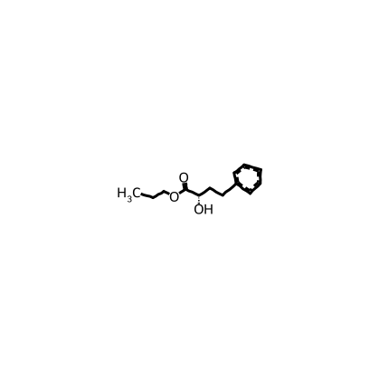 CCCOC(=O)[C@@H](O)CCc1ccccc1